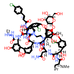 CCNNC(=O)[C@@H]1NC(=O)[C@H]2NC(=O)[C@H](NC(=O)[C@@H]3NC(=O)[C@H](CC(N)=O)NC(=O)[C@H](NC(=O)[C@@H](CC(C)C)NC)[C@H](O)c4ccc(c(Cl)c4)Oc4cc3cc(c4O[C@@H]3O[C@H](CO)[C@@H](O)[C@H](O)[C@H]3O[C@H]3C[C@](C)(NCCn4ccc(NC(=O)/C=C/c5ccc(Cl)cc5)nc4=O)[C@H](O)[C@H](C)O3)Oc3ccc(cc3Cl)[C@H]2O)c2ccc(O)c(c2)-c2c(O)cc(O)cc21